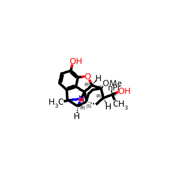 CCC[C@@](C)(O)[C@H]1C[C@@]23CC[C@@]1(OC)[C@@H]1Oc4c(O)ccc5c4C12CN(C)[C@@H]3C5